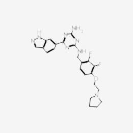 Nc1nc(NCc2ccc(OCCN3CCCC3)c(F)c2F)nc(-c2ccc3cn[nH]c3c2)n1